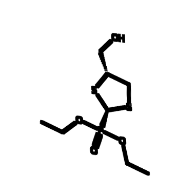 CCOP(=O)(OCC)[C@@H]1SC[C@@H](CO)S1